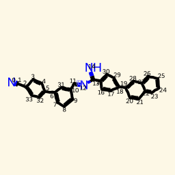 N#Cc1ccc(-c2cccc(/C=N/C(=N)c3ccc(-c4ccc5ccccc5c4)cc3)c2)cc1